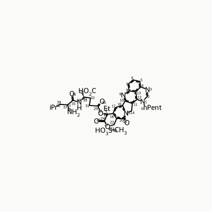 CCCCCN1C=Nc2cccc3nc4c(c1c23)Cn1c-4cc2c(c1=O)COC(=O)[C@@]2(CC)OC(=O)CC[C@@H](NC(=O)[C@@H](N)CC(C)C)C(=O)O.CS(=O)(=O)O